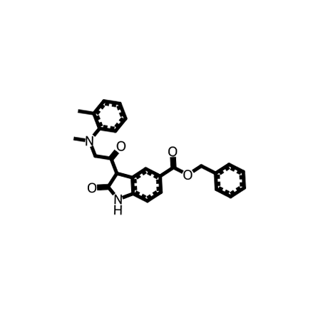 Cc1ccccc1N(C)CC(=O)C1C(=O)Nc2ccc(C(=O)OCc3ccccc3)cc21